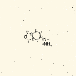 NNc1ccc2c(c1)COC2